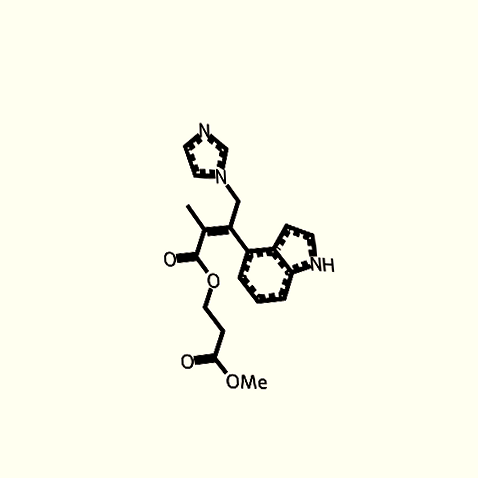 COC(=O)CCOC(=O)C(C)=C(Cn1ccnc1)c1cccc2[nH]ccc12